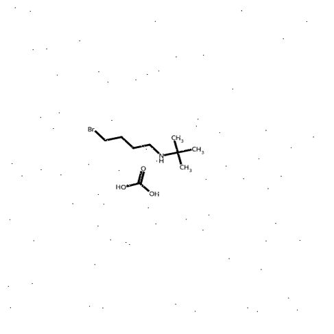 CC(C)(C)NCCCCBr.O=C(O)O